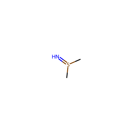 CS(C)=N